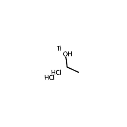 CCO.Cl.Cl.[Ti]